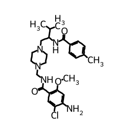 COc1cc(N)c(Cl)cc1C(=O)NCN1CCN(CC(NC(=O)c2ccc(C)cc2)C(C)C)CC1